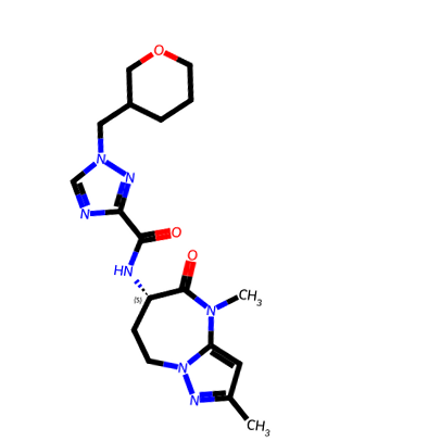 Cc1cc2n(n1)CC[C@H](NC(=O)c1ncn(CC3CCCOC3)n1)C(=O)N2C